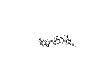 COc1cc(CC(=O)N2CC[C@]3(CCc4cc(-c5cnn(C)c5)c(C)nc4N3)C2)c(Cl)cn1